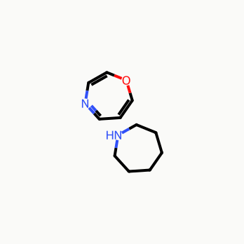 C1=COC=CN=C1.C1CCCNCC1